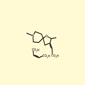 CC1OC2(CCN(C)CC2)CC1=CC(=O)O.O=C(O)/C=C\C(=O)O